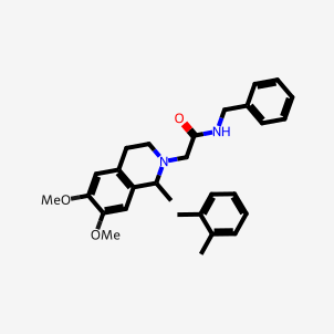 COc1cc2c(cc1OC)C(C)N(CC(=O)NCc1ccccc1)CC2.Cc1ccccc1C